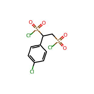 O=S(=O)(Cl)CC(c1ccc(Cl)cc1)S(=O)(=O)Cl